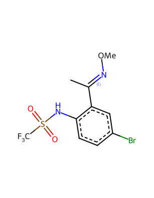 CO/N=C(\C)c1cc(Br)ccc1NS(=O)(=O)C(F)(F)F